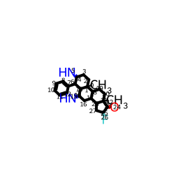 C[C@]12CCC(=N)C(c3ccccc3)C1C(=N)CC1C2CC[C@]2(C)C(=O)C(F)CC12